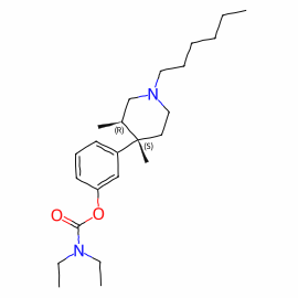 CCCCCCN1CC[C@](C)(c2cccc(OC(=O)N(CC)CC)c2)[C@@H](C)C1